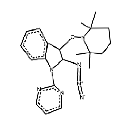 CC1(C)CCCC(C)(C)N1OC1c2ccccc2N(c2ncccn2)C1N=[N+]=[N-]